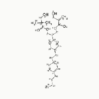 C=C(CO)C(=O)OCC(COC(=O)C(C)(C)CO)C1OCC(CCc2ccc(CCCC(C)C)cc2)CO1